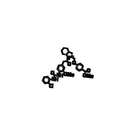 COC(=O)c1ccc(OC[C@@H]2CC3CCCCC3N2C(=O)Cc2ccc(NC(=O)Nc3ccccc3Cl)c(OC)c2)cc1